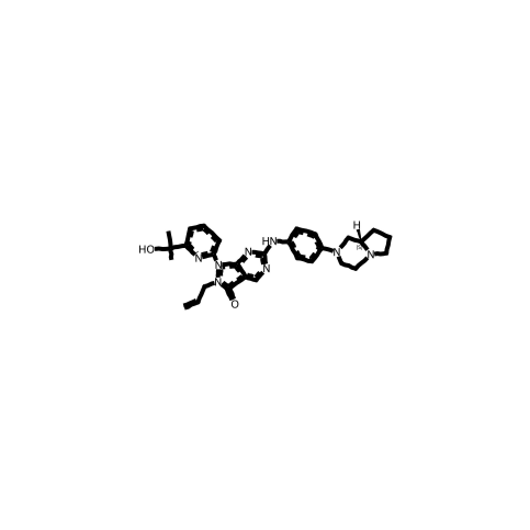 C=CCn1c(=O)c2cnc(Nc3ccc(N4CCN5CCC[C@H]5C4)cc3)nc2n1-c1cccc(C(C)(C)O)n1